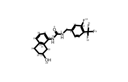 O=C(NCc1ccc(C(F)(F)F)c(F)c1)Nc1cccc2c1CC(O)CC2